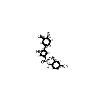 N#Cc1ccc(NS(=O)(=O)c2c[nH]c(-c3ccc(F)c(Cl)c3)c2)c(F)c1